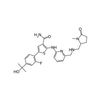 CN1C(=O)CCC1CNCc1cccc(Nc2sc(-c3ccc(C(C)(C)O)cc3F)cc2C(N)=O)n1